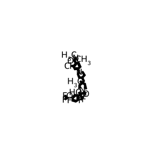 CN(C)C(=O)c1ccc(N2CCC(CC3(C)CCN(C(=O)C(O)(c4cccc(OC(F)(F)F)c4)C(F)(F)F)CC3)CC2)cc1Cl